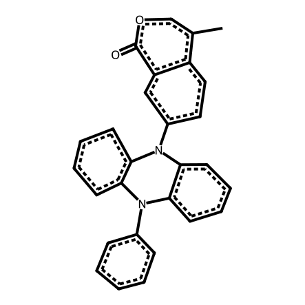 Cc1coc(=O)c2cc(N3c4ccccc4N(c4ccccc4)c4ccccc43)ccc12